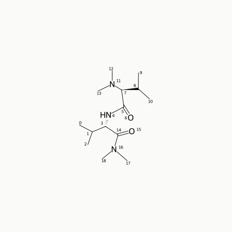 CC(C)[C@H](NC(=O)[C@H](C(C)C)N(C)C)C(=O)N(C)C